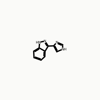 [c]1nc(-c2n[nH]c3ccccc23)c[nH]1